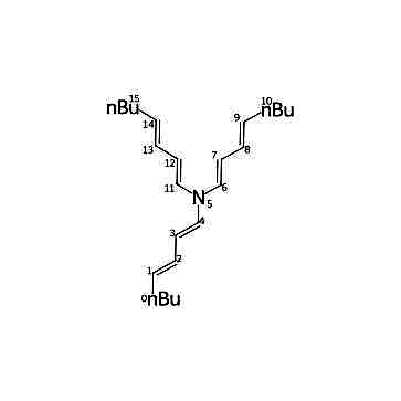 CCCCC=CC=CN(C=CC=CCCCC)C=CC=CCCCC